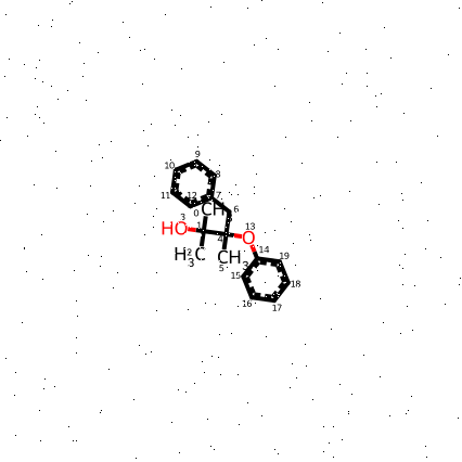 CC(C)(O)C(C)(Cc1ccccc1)Oc1ccccc1